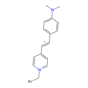 CC(=O)C[n+]1ccc(/C=C/c2ccc(N(C)C)cc2)cc1